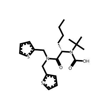 CCCC[C@@H](C(=O)N(Cc1cccs1)Cc1cccs1)N(C(=O)O)C(C)(C)C